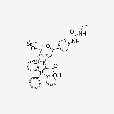 CCNC(=O)Nc1ccc(C(=O)C[C@@H]2[C@@H]([C@@H](C)O[Si](C)(C)C)C(=O)N2C(C(=O)O)=P(c2ccccc2)(c2ccccc2)c2ccccc2)cc1